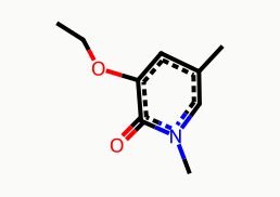 CCOc1cc(C)cn(C)c1=O